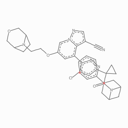 N#Cc1cnn2cc(OCCN3C4CCC3COC4)cc(-c3ccc(N4CC5CC(C4)N5C(=O)C4(c5cccc(Cl)c5)CC4)nc3)c12